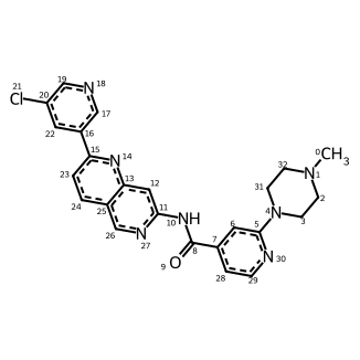 CN1CCN(c2cc(C(=O)Nc3cc4nc(-c5cncc(Cl)c5)ccc4cn3)ccn2)CC1